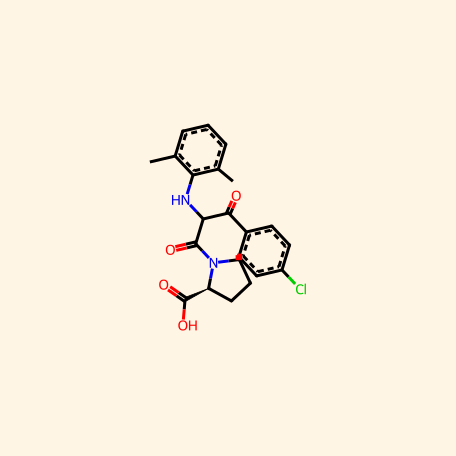 Cc1cccc(C)c1NC(C(=O)c1ccc(Cl)cc1)C(=O)N1CCC[C@H]1C(=O)O